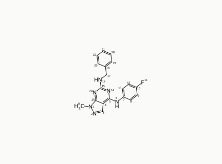 Cn1ncc2c(Nc3ccc(F)cc3)nc(NCc3ccccc3)nc21